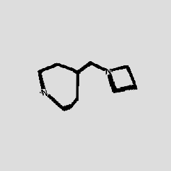 C1CN(CC2CC[N]CC2)C1